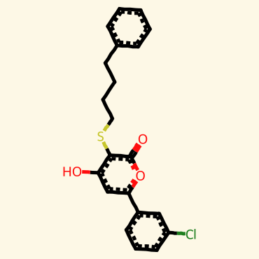 O=c1oc(-c2cccc(Cl)c2)cc(O)c1SCCCCc1ccccc1